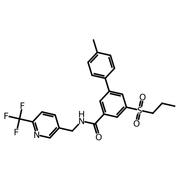 CCCS(=O)(=O)c1cc(C(=O)NCc2ccc(C(F)(F)F)nc2)cc(-c2ccc(C)cc2)c1